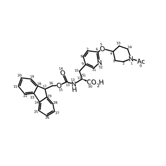 CC(=O)N1CCC(Oc2ccc(C[C@H](NC(=O)OCC3c4ccccc4-c4ccccc43)C(=O)O)cn2)CC1